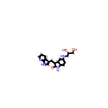 O=C1Nc2ccc(NCC(O)CO)cc2C1=Cc1c[nH]c2ncccc12